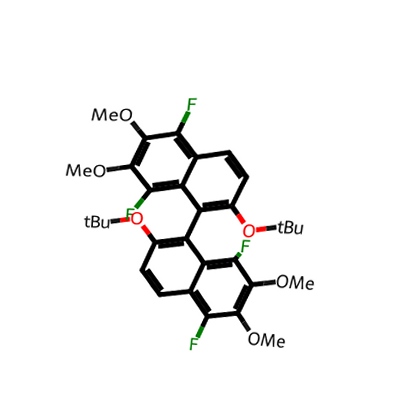 COc1c(OC)c(F)c2c(-c3c(OC(C)(C)C)ccc4c(F)c(OC)c(OC)c(F)c34)c(OC(C)(C)C)ccc2c1F